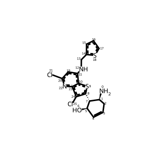 N[C@H]1CC=C[C@@H](O)[C@@H]1c1sc2c(NCc3cccs3)cc(Cl)nc2c1Cl